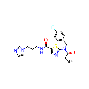 CC(C)CC(=O)N(Cc1ccc(F)cc1)c1ncc(C(=O)NCCCn2ccnc2)s1